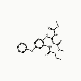 CCCC(=O)Nc1cc(Oc2ccccc2)ccc1NC(=NC(=O)OC)NC(=O)OC